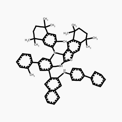 Cc1ccccc1-c1cc(-c2cc3ccccc3cc2Nc2ccc(-c3ccccc3)cc2)c2c(c1)N(c1cc3c(cc1C)C(C)(C)CCC3(C)C)c1c(oc3cc4c(cc13)C(C)(C)CCC4(C)C)B2